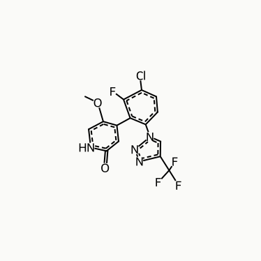 COc1c[nH]c(=O)cc1-c1c(-n2cc(C(F)(F)F)nn2)ccc(Cl)c1F